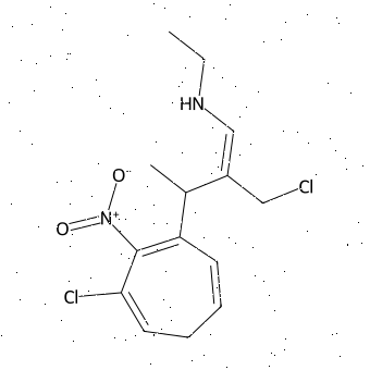 CCN/C=C(/CCl)C(C)C1=C([N+](=O)[O-])C(Cl)=CCC=C1